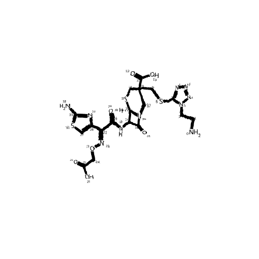 NCCn1nnnc1SCC1(C(=O)O)CS[C@@H]2C(NC(=O)C(=NOCC(=O)O)c3csc(N)n3)C(=O)N2C1